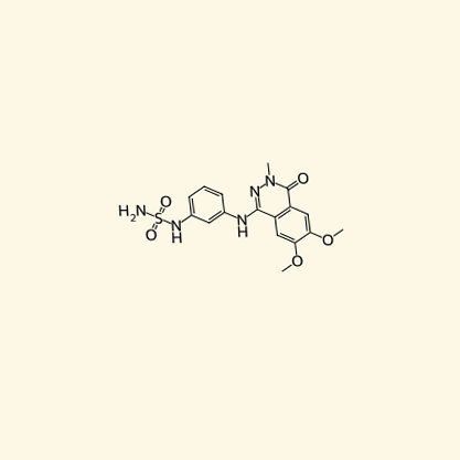 COc1cc2c(Nc3cccc(NS(N)(=O)=O)c3)nn(C)c(=O)c2cc1OC